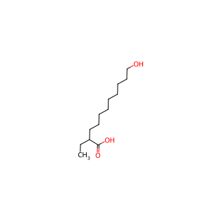 CCC(CCCCCCCCCO)C(=O)O